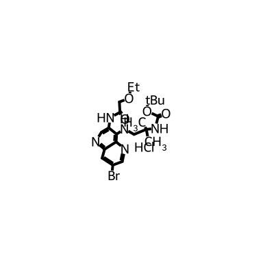 CCOCC(=O)Nc1cnc2cc(Br)cnc2c1NCC(C)(C)NC(=O)OC(C)(C)C.Cl